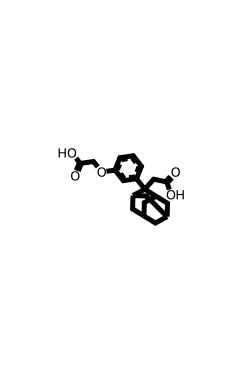 O=C(O)COc1cccc(C2(CC(=O)O)C3CC4CC(C3)CC2C4)c1